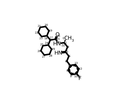 C[C@@H](CC(=N)CCc1ccc(F)cc1)NC(=O)C(C1CCCCC1)C1CCCCC1